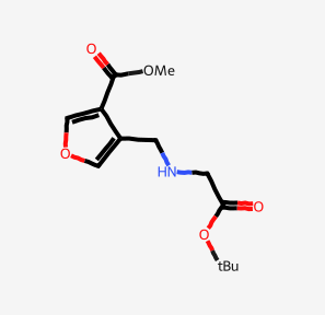 COC(=O)c1cocc1CNCC(=O)OC(C)(C)C